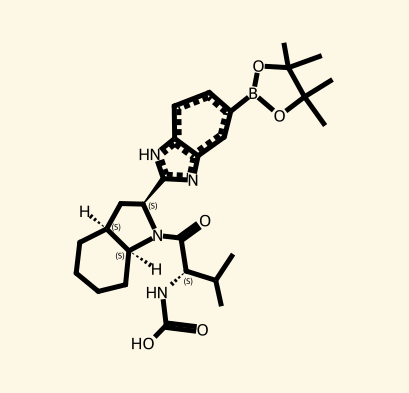 CC(C)[C@H](NC(=O)O)C(=O)N1[C@H](c2nc3cc(B4OC(C)(C)C(C)(C)O4)ccc3[nH]2)C[C@@H]2CCCC[C@@H]21